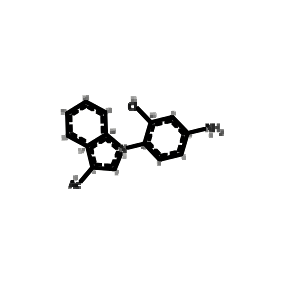 CC(=O)c1cn(-c2ccc(N)cc2Cl)c2ccccc12